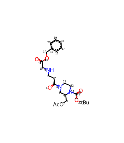 CC(=O)OCC1CN(C(=O)CCNCC(=O)OCc2ccccc2)CCN1C(=O)OC(C)(C)C